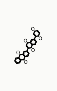 O=C1C=CC(=O)C(c2ccc3c(c2)C(=O)C=C(c2ccc4c(c2)C(=O)c2ccccc2C4=O)C3=O)=C1